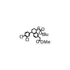 COC(=O)Cc1ccc2c(c1)C(N(C)C(=O)OC(C)(C)C)CCC2c1ccc(Cl)c(Cl)c1